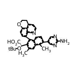 Cc1cc2c(C)c(-c3cnc(N)nc3)ccc2c(-c2ccc3c4c(ccnc24)CCO3)c1[C@H](OC(C)(C)C)C(=O)O